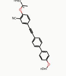 CCCCCCCCCCOc1ccc(-c2ccc(C#Cc3ccc(O[C@H](C)CCCCCC)c(C#N)c3)cc2)cc1